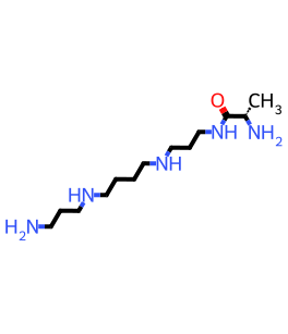 C[C@H](N)C(=O)NCCCNCCCCNCCCN